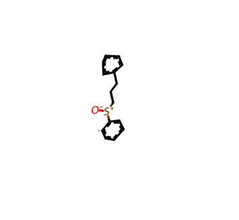 [O-][S+](CCCc1ccccc1)c1[c]cccc1